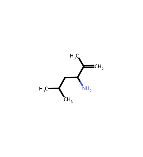 C=C(C)C(N)CC(C)C